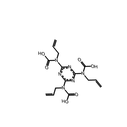 C=CCN(C(=O)O)c1nc(N(CC=C)C(=O)O)nc(N(CC=C)C(=O)O)n1